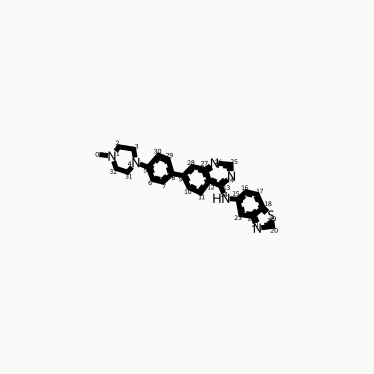 CN1CCN(c2ccc(-c3ccc4c(Nc5ccc6scnc6c5)ncnc4c3)cc2)CC1